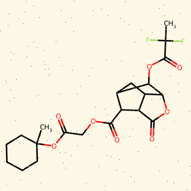 CC1(OC(=O)COC(=O)C2C3CC4C(OC(=O)C42)C3OC(=O)C(C)(F)F)CCCCC1